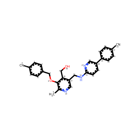 [C-]#[N+]c1ccc(COc2c(C)ncc(CNc3ccc(-c4ccc(C#N)cc4)cn3)c2CO)cc1